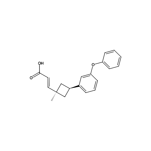 C[C@]1(C=CC(=O)O)C[C@@H](c2cccc(Oc3ccccc3)c2)C1